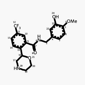 COc1ccc(CNC(=O)c2cc(C(F)(F)F)ccc2C2CNCCO2)cc1O